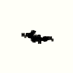 CC1=CC(OC(C)C)C(Nc2ncnc3sc(C(=O)NCCC4CCN(C)CC4)nc23)C=C1